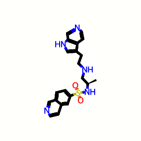 C[C@H](CNCCc1c[nH]c2cnccc12)NS(=O)(=O)c1ccc2cnccc2c1